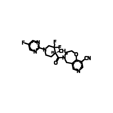 C[C@]1(C(=O)N2CCOc3c(C#N)cncc3C2)CCN(c2ncc(F)cn2)CC1(F)F